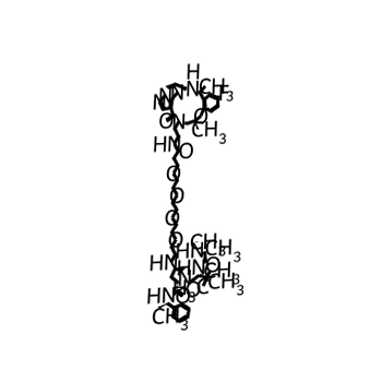 CC[C@@H](NC(=O)[C@@H]1C[C@H](NCCOCCOCCOCCOCCC(=O)NCCN2C[C@H](C)Oc3ccc(F)cc3C(C)Nc3ccn4ncc(c4n3)C2=O)CN1C(=O)C(NC(=O)[C@H](C)NC)C(C)(C)C)c1ccccc1